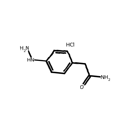 Cl.NNc1ccc(CC(N)=O)cc1